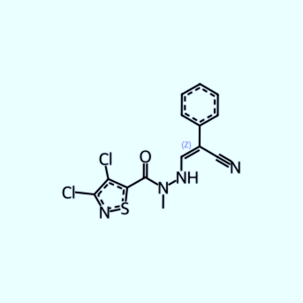 CN(N/C=C(\C#N)c1ccccc1)C(=O)c1snc(Cl)c1Cl